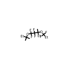 CCC(C)(C)OC(F)(F)C(F)(F)C(C)(CC)OC(F)(F)CC